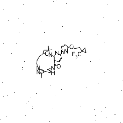 Cc1nn2cc1SNC(=O)c1ccc(-n3ccc(OCCC4(C(F)(F)F)CC4)n3)nc1N1CC(CCC2)CC1(C)C